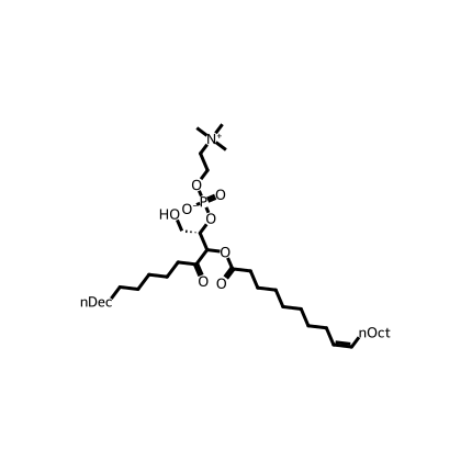 CCCCCCCC/C=C\CCCCCCCC(=O)OC(C(=O)CCCCCCCCCCCCCCC)[C@H](CO)OP(=O)([O-])OCC[N+](C)(C)C